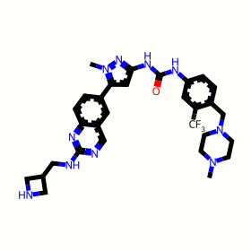 CN1CCN(Cc2ccc(NC(=O)Nc3cc(-c4ccc5nc(NCC6CNC6)ncc5c4)n(C)n3)cc2C(F)(F)F)CC1